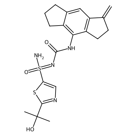 C=C1CCc2c1cc1c(c2NC(=O)N=S(N)(=O)c2cnc(C(C)(C)O)s2)CCC1